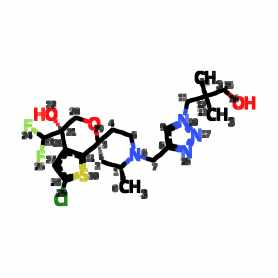 C[C@H]1C[C@@]2(CCN1Cc1cn(CC(C)(C)CO)nn1)OC[C@](O)(C(F)F)c1cc(Cl)sc12